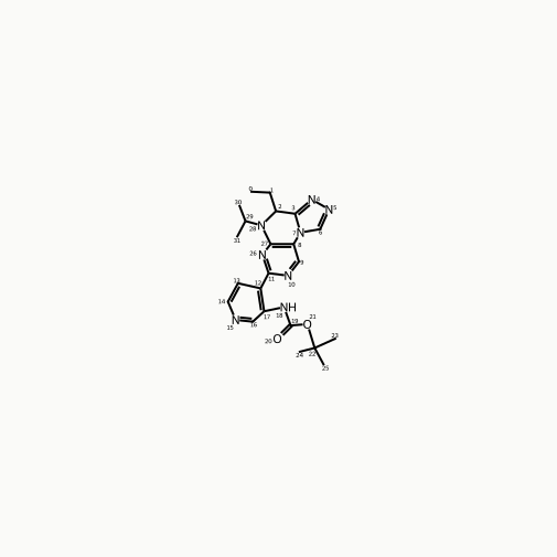 CCC1c2nncn2-c2cnc(-c3ccncc3NC(=O)OC(C)(C)C)nc2N1C(C)C